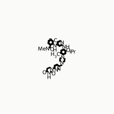 CNC(=O)c1ccccc1Nc1cc(Nc2cc(C)c(N3CCN(Cc4ccc(N5CCC(=O)NC5=O)nn4)CC3)cc2OC(C)C)ncc1C(F)(F)F